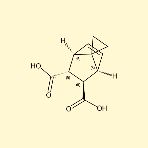 O=C(O)[C@H]1[C@H](C(=O)O)[C@@H]2C=C[C@H]1C21CC1